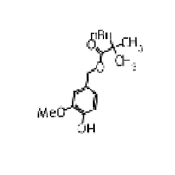 CCCCC(C)(C)C(=O)OCc1ccc(O)c(OC)c1